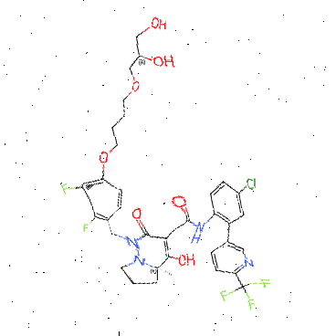 C[C@]12CCCN1N(Cc1ccc(OCCCCOC[C@H](O)CO)c(F)c1F)C(=O)C(C(=O)Nc1ccc(Cl)cc1-c1ccc(C(F)(F)F)nc1)=C2O